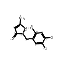 Nc1cc(=O)n(Cc2cc(Cl)c(Cl)cc2Cl)[nH]1